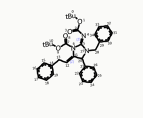 CC(C)(C)OC(=O)/N=C1\N(C(=O)OC(C)(C)C)/C(=C\Cc2ccccc2)C(c2ccccc2)N1Cc1ccccc1